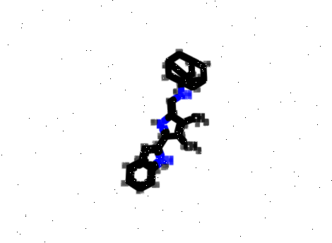 CC1=C(C)/C(=C\NC23CC4CC(CC(C4)C2)C3)N=C1c1cc2ccccc2[nH]1